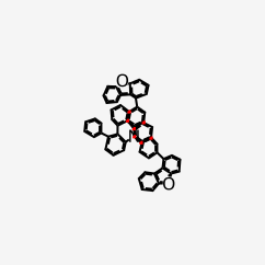 c1ccc(-c2ccccc2-c2c(-c3ccccc3)cccc2N(c2ccc(-c3cccc4oc5ccccc5c34)cc2)c2ccc(-c3cccc4oc5ccccc5c34)cc2)cc1